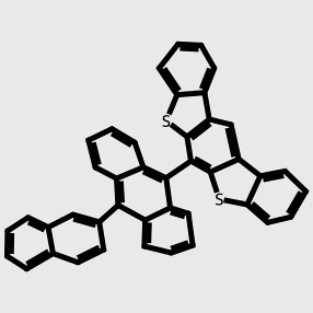 c1ccc2cc(-c3c4ccccc4c(-c4c5sc6ccccc6c5cc5c4sc4ccccc45)c4ccccc34)ccc2c1